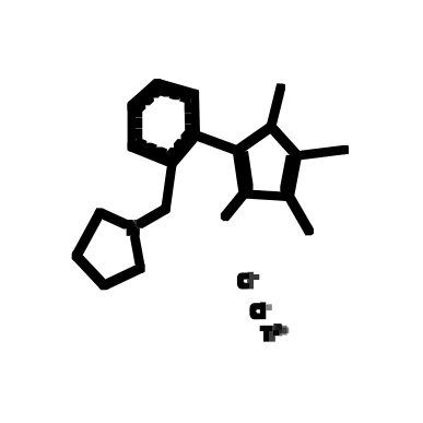 CC1=C(C)C(C)C(c2ccccc2CN2CCCC2)=C1C.[Cl-].[Cl-].[Ti+2]